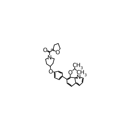 CC(C)Oc1c(-c2ccc(OC3CCN(C(=O)[C@H]4CCCO4)CC3)cc2)ccc2cccnc12